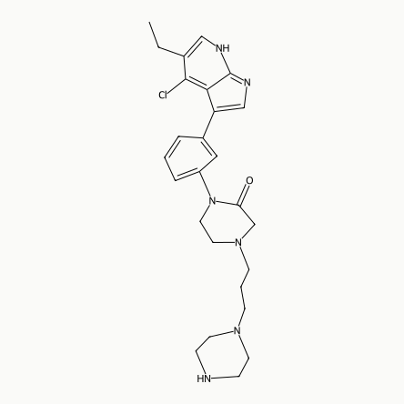 CCc1c[nH]c2ncc(-c3cccc(N4CCN(CCCN5CCNCC5)CC4=O)c3)c-2c1Cl